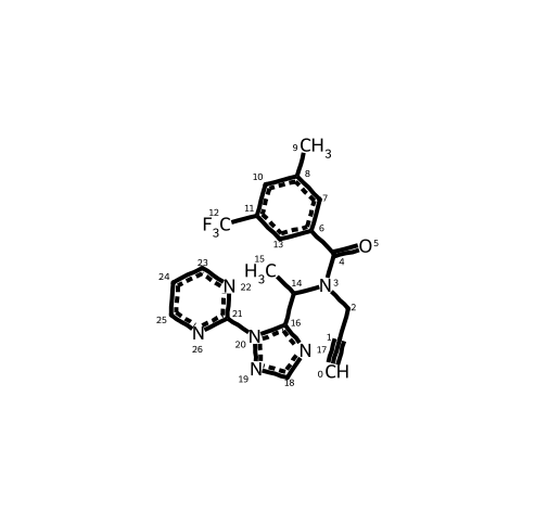 C#CCN(C(=O)c1cc(C)cc(C(F)(F)F)c1)C(C)c1ncnn1-c1ncccn1